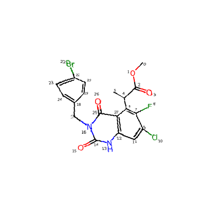 COC(=O)C(C)c1c(F)c(Cl)cc2[nH]c(=O)n(Cc3ccc(Br)cc3)c(=O)c12